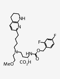 COCCN(CCCCc1ccc2c(n1)NCCC2)CC[C@H](NC(=O)OCc1ccc(F)cc1F)C(=O)O